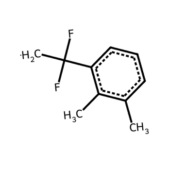 [CH2]C(F)(F)c1cccc(C)c1C